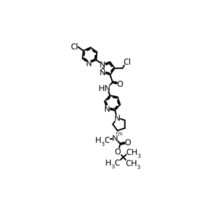 CN(C(=O)OC(C)(C)C)[C@H]1CCN(c2ccc(NC(=O)c3nn(-c4ccc(Cl)cn4)cc3CCl)cn2)C1